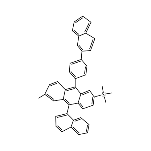 Cc1ccc2c(-c3ccc(-c4ccc5ccccc5c4)cc3)c3cc([Si](C)(C)C)ccc3c(-c3cccc4ccccc34)c2c1